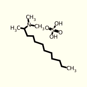 CCCCCCCCCCC(C)N(C)C.O=S(=O)(O)O